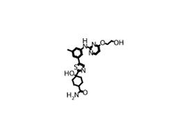 Cc1cc(Nc2nccc(OCCO)n2)cc(-c2cnc(C3(O)CCC(C(N)=O)CC3)s2)c1